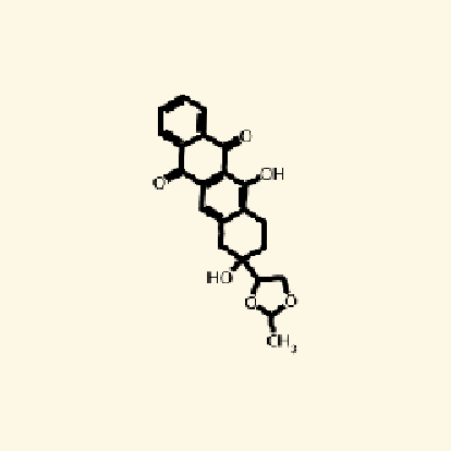 CC1OCC(C2(O)CCc3c(cc4c(c3O)C(=O)c3ccccc3C4=O)C2)O1